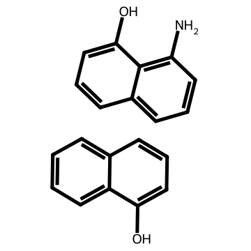 Nc1cccc2cccc(O)c12.Oc1cccc2ccccc12